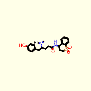 CCN(C)C(CCC(=O)NC1CCS(=O)(=O)c2ccccc21)Cc1ccc(O)cc1